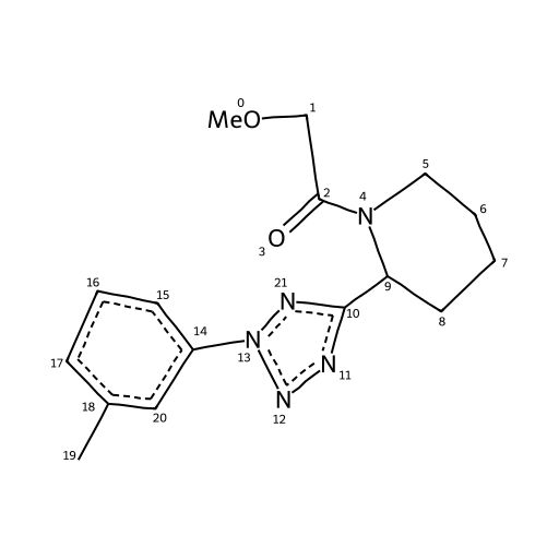 COCC(=O)N1CCCCC1c1nnn(-c2cccc(C)c2)n1